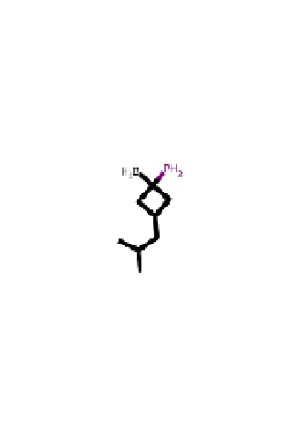 BC1(P)CC(CC(C)C)C1